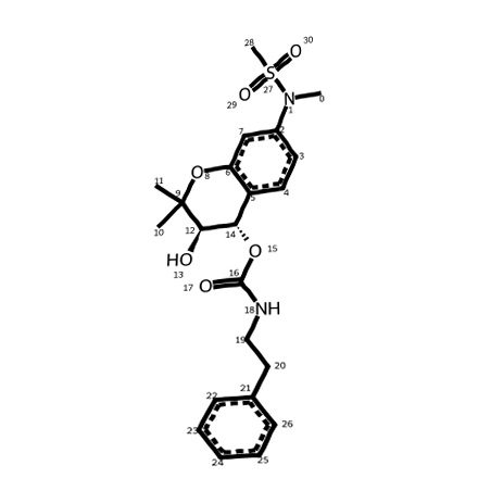 CN(c1ccc2c(c1)OC(C)(C)[C@H](O)[C@H]2OC(=O)NCCc1ccccc1)S(C)(=O)=O